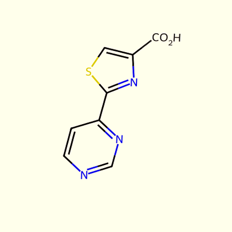 O=C(O)c1csc(-c2ccncn2)n1